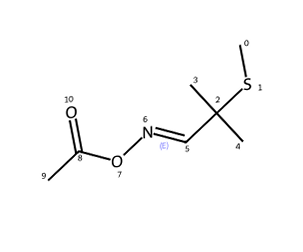 CSC(C)(C)/C=N/OC(C)=O